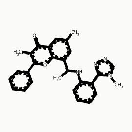 Cc1cc(C(C)Nc2ccccc2-c2nncn2C)c2oc(-c3ccccc3)c(C)c(=O)c2c1